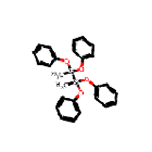 C[Si](Oc1ccccc1)(Oc1ccccc1)[Si](C)(Oc1ccccc1)Oc1ccccc1